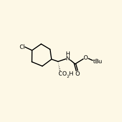 CC(C)(C)OC(=O)N[C@H](C(=O)O)C1CCC(Cl)CC1